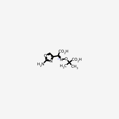 CC(C)(O/N=C(\C(=O)O)c1coc(N)n1)C(=O)O